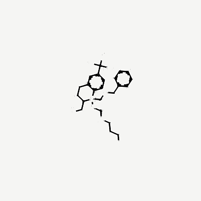 CCCCOC(=O)N[N+]1(C(=O)OCc2ccccc2)c2ccc(C(F)(F)F)cc2CCC1CC